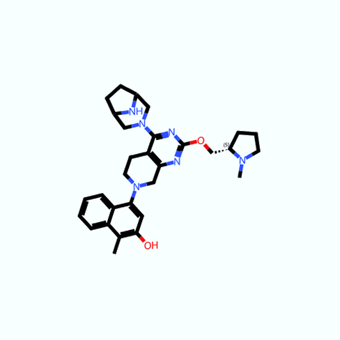 Cc1c(O)cc(N2CCc3c(nc(OC[C@@H]4CCCN4C)nc3N3CC4CCC(C3)N4)C2)c2ccccc12